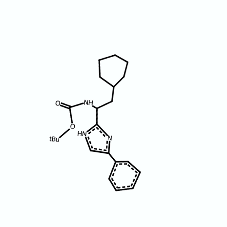 CC(C)(C)OC(=O)NC(CC1CCCCC1)c1nc(-c2ccccc2)c[nH]1